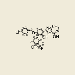 Cn1nc(-c2ccc(OCc3ccc(Cl)cc3)c(-c3ccc(Cl)c(C(F)(F)F)c3)c2O)cc1C(=O)O